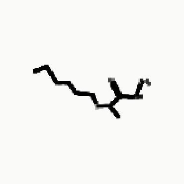 CCCCCCSC(C)C(=O)NN